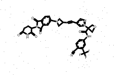 N#Cc1ccc(NC(=O)C2(n3cc(C#CC4CN(c5ccc6c(c5)C(=O)N(C5CCC(=O)NC5=O)C6=O)C4)cn3)COC2)cc1C(F)(F)F